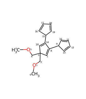 COCC1(COC)C=C(C2C=CC=C2)C(C2C=CC=C2)=C1